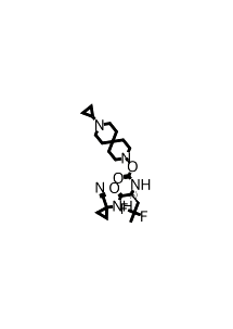 CC(F)(F)C[C@H](NC(=O)ON1CCC2(CC1)CCN(C1CC1)CC2)C(=O)NC1(C#N)CC1